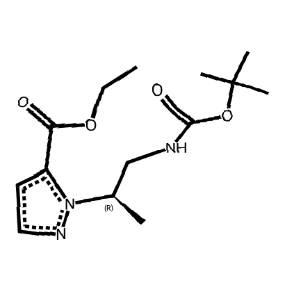 CCOC(=O)c1ccnn1[C@H](C)CNC(=O)OC(C)(C)C